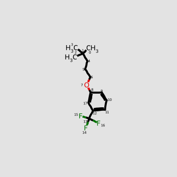 CC(C)(C)CCCOc1cccc(C(F)(F)F)c1